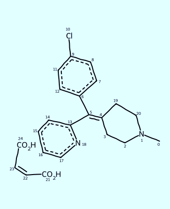 CN1CCC(=C(c2ccc(Cl)cc2)c2ccccn2)CC1.O=C(O)/C=C\C(=O)O